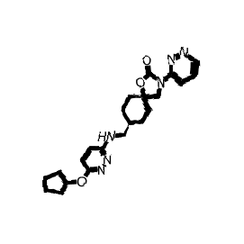 O=C1O[C@]2(CC[C@H](CNc3ccc(OC4CCCC4)nn3)CC2)CN1c1cccnn1